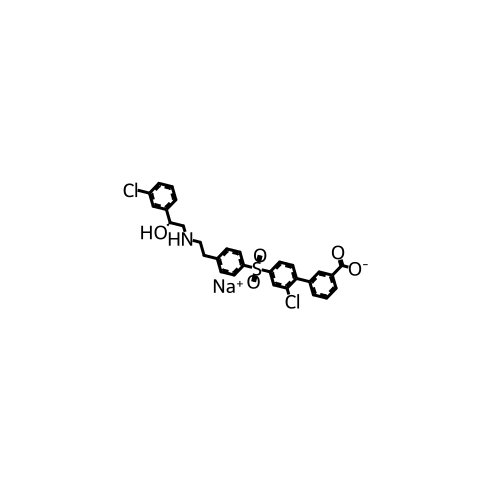 O=C([O-])c1cccc(-c2ccc(S(=O)(=O)c3ccc(CCNC[C@H](O)c4cccc(Cl)c4)cc3)cc2Cl)c1.[Na+]